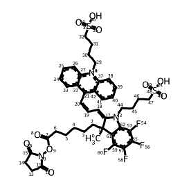 CC1(CCCCCC(=O)ON2C(=O)CCC2=O)C(=CC=Cc2c3ccccc3[n+](CCCCS(=O)(=O)O)c3ccccc23)N(CCCCS(=O)(=O)O)c2c(F)c(F)c(F)c(F)c21